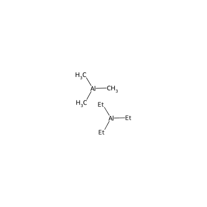 C[CH2][Al]([CH2]C)[CH2]C.[CH3][Al]([CH3])[CH3]